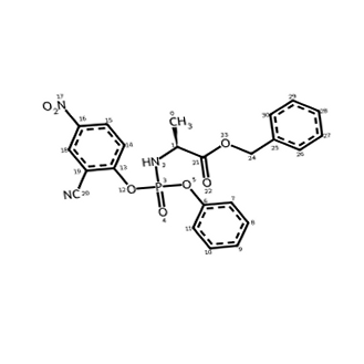 C[C@H](NP(=O)(Oc1ccccc1)Oc1ccc([N+](=O)[O-])cc1C#N)C(=O)OCc1ccccc1